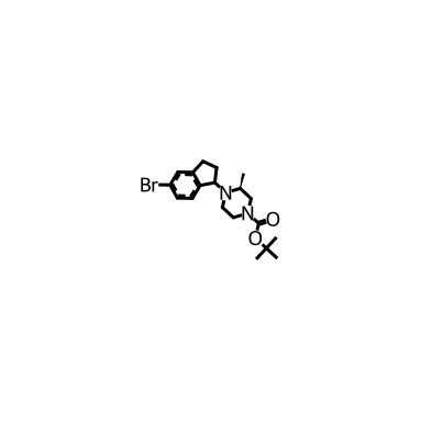 C[C@H]1CN(C(=O)OC(C)(C)C)CCN1C1CCc2cc(Br)ccc21